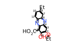 CCOc1cc2nc3cc(CC)ccc3nc2c(C(=O)O)c1O